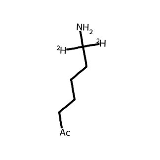 [2H]C([2H])(N)CCCCC(C)=O